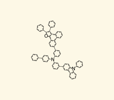 c1ccc(-c2ccc(N(c3cccc(-c4ccc5c(c4)c4ccccc4c4c(-c6ccccc6)c(-c6ccccc6)oc54)c3)c3cccc(-c4ccc5c(c4)c4ccccc4n5-c4ccccc4)c3)cc2)cc1